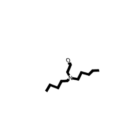 CCCCCN(CC=O)CCCCC